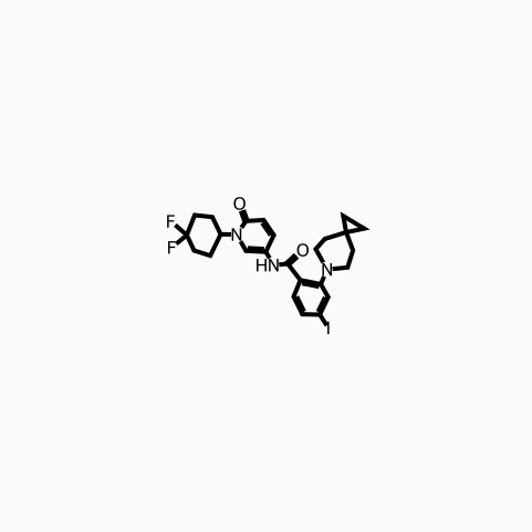 O=C(Nc1ccc(=O)n(C2CCC(F)(F)CC2)c1)c1ccc(I)cc1N1CCC2(CC1)CC2